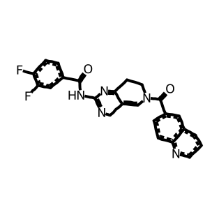 O=C(NC1=NCC2=CN(C(=O)c3ccc4ncccc4c3)CCC2=N1)c1ccc(F)c(F)c1